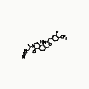 Cc1ccc2c(=O)n([C@H](C)CN=[N+]=[N-])ccc2c1NC(=O)Cc1ccc(C(F)(F)F)c(F)c1